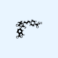 CC1(C)C(=O)N(c2ccc3c(c2)COC3=O)C(=S)N1CCCN1CCN(C(=O)S)CC1